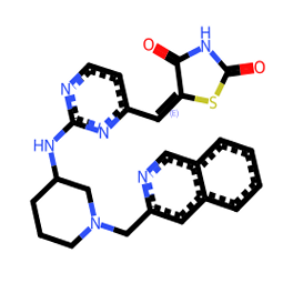 O=C1NC(=O)/C(=C\c2ccnc(NC3CCCN(Cc4cc5ccccc5cn4)C3)n2)S1